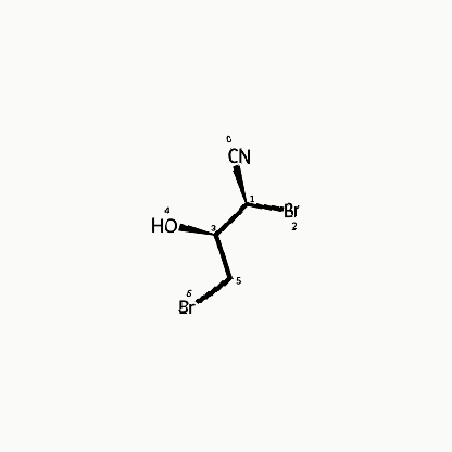 N#C[C@@H](Br)[C@H](O)CBr